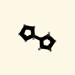 c1ccn(-c2ncon2)c1